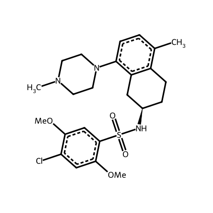 COc1cc(S(=O)(=O)N[C@@H]2CCc3c(C)ccc(N4CCN(C)CC4)c3C2)c(OC)cc1Cl